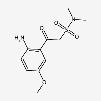 COc1ccc(N)c(C(=O)CS(=O)(=O)N(C)C)c1